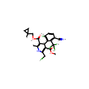 COC(=O)C1=C(CF)NC(C)=C(C(=O)OCC2(C)CC2)C1c1c(F)ccc(C#N)c1C(F)(F)F